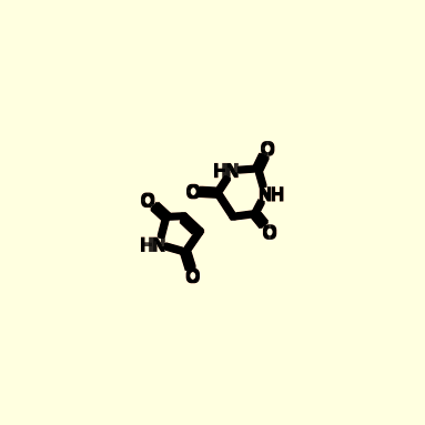 O=C1C=CC(=O)N1.O=C1CC(=O)NC(=O)N1